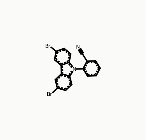 N#Cc1ccccc1-n1c2ccc(Br)cc2c2cc(Br)ccc21